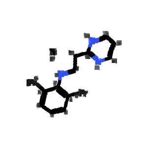 CC(C)c1cccc(C(C)C)c1N=CCc1ncccn1.[Ni]